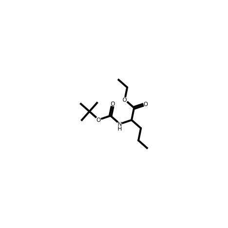 CCCC(NC(=O)OC(C)(C)C)C(=O)OCC